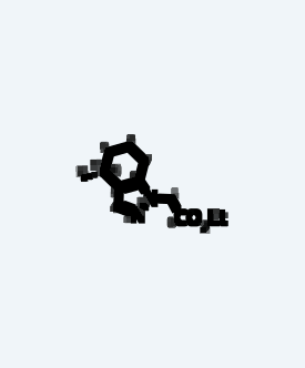 CCOC(=O)Cn1ncc2c1CCC[C@H]2C